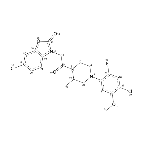 COc1cc(N2CCN(C(=O)Cn3c(=O)oc4cc(Cl)ccc43)C(C)C2)c(F)cc1Cl